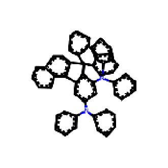 c1ccc(N(c2ccccc2)c2cc3c(c(N(c4ccccc4)c4ccccc4)c2)C2(c4ccccc4-c4ccccc42)c2ccc4ccccc4c2-3)cc1